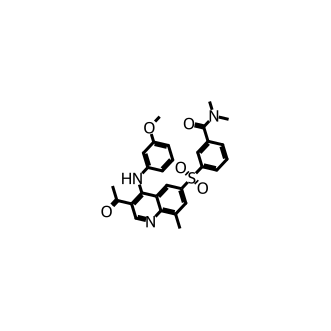 COc1cccc(Nc2c(C(C)=O)cnc3c(C)cc(S(=O)(=O)c4cccc(C(=O)N(C)C)c4)cc23)c1